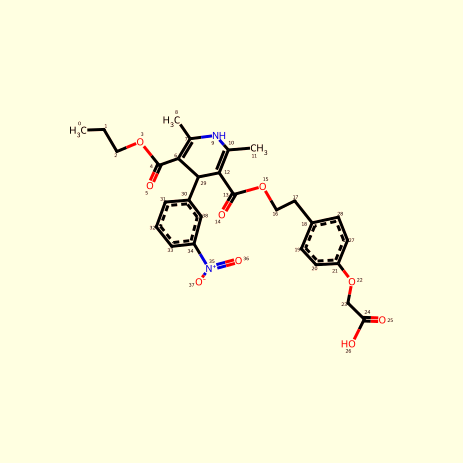 CCCOC(=O)C1=C(C)NC(C)=C(C(=O)OCCc2ccc(OCC(=O)O)cc2)C1c1cccc([N+](=O)[O-])c1